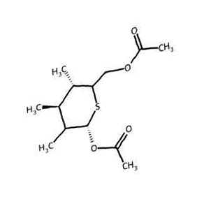 CC(=O)OCC1S[C@H](OC(C)=O)C(C)[C@@H](C)[C@@H]1C